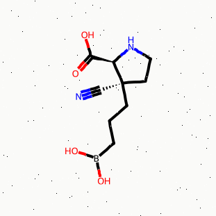 N#C[C@@]1(CCCB(O)O)CCN[C@@H]1C(=O)O